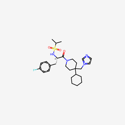 CC(C)S(=O)(=O)N[C@@H](Cc1ccc(F)cc1)C(=O)N1CCC(Cn2ccnc2)(C2CCCCC2)CC1